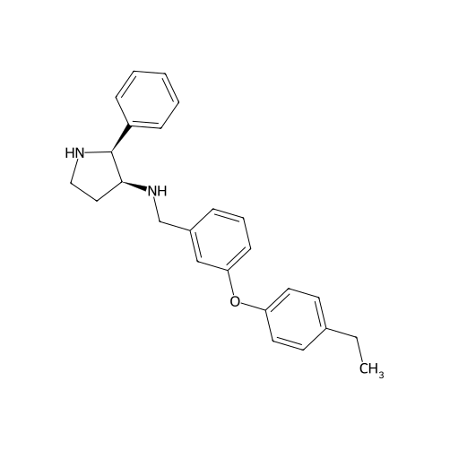 CCc1ccc(Oc2cccc(CN[C@H]3CCN[C@H]3c3ccccc3)c2)cc1